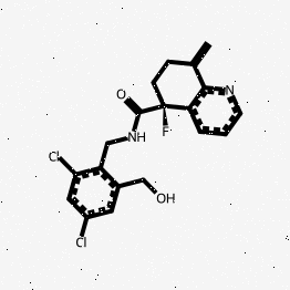 C=C1CC[C@@](F)(C(=O)NCc2c(Cl)cc(Cl)cc2CO)c2cccnc21